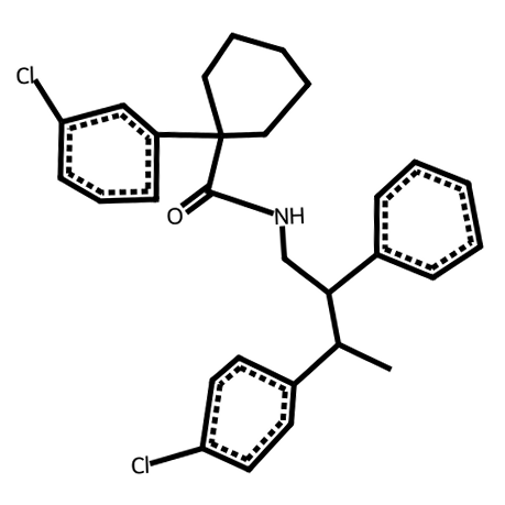 CC(c1ccc(Cl)cc1)C(CNC(=O)C1(c2cccc(Cl)c2)CCCCC1)c1ccccc1